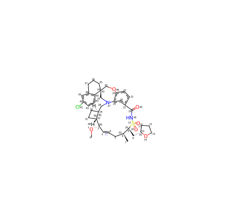 CO[C@H]1/C=C/C[C@H](C)[C@H](C[C@@H]2CCCO2)S(=O)(=O)NC(=O)c2ccc3c(c2)N(C[C@@H]2CC[C@H]21)C[C@@]1(CCCc2cc(Cl)ccc21)CO3